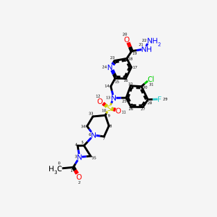 CC(=O)N1CC(N2CCC(S(=O)(=O)N(Cc3ccc(C(=O)NN)cn3)c3ccc(F)c(Cl)c3)CC2)C1